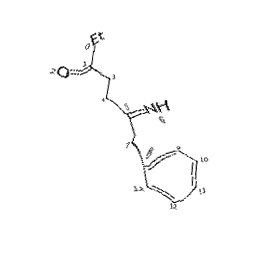 CCC(=O)CCC(=N)Cc1ccccc1